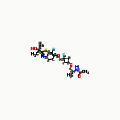 CC(=O)N[C@@H](C)CO[C@H]1C[C@](F)(COc2ccc3nc(C(C)(C)O)sc3c2F)C1